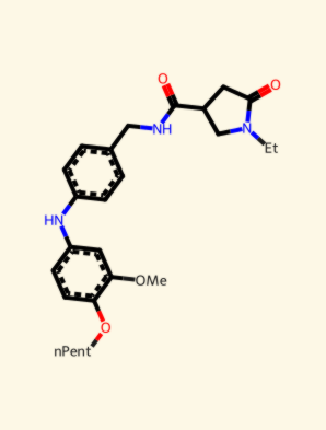 CCCCCOc1ccc(Nc2ccc(CNC(=O)C3CC(=O)N(CC)C3)cc2)cc1OC